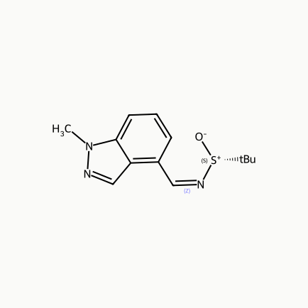 Cn1ncc2c(/C=N\[S@+]([O-])C(C)(C)C)cccc21